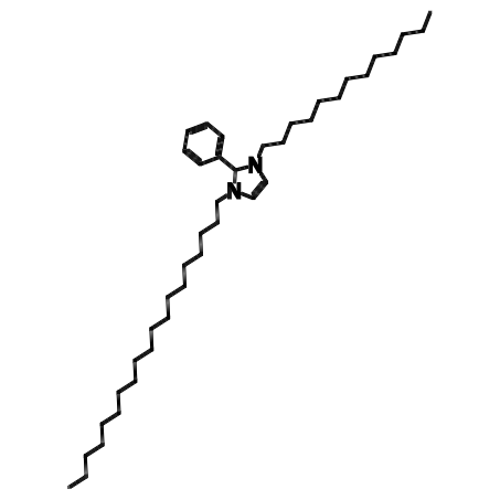 CCCCCCCCCCCCCCCCCCCN1C=CN(CCCCCCCCCCCCC)C1c1ccccc1